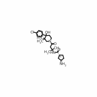 CC(C)(CC(=O)N1CCC(O)(c2ccc(Cl)cc2)C(C)(C)C1)NC(=O)[C@@H]1CC[C@@H](N)C1